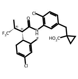 C[C@H]([C@H](C(=O)Nc1cc(CC2(C(=O)O)CC2)ccc1Cl)C1CC=C(Cl)C=C1F)C(F)(F)F